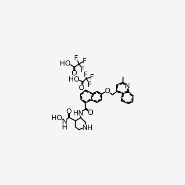 Cc1cc(COc2ccc3c(C(=O)NC4CNCCC4C(=O)NO)cccc3c2)c2ccccc2n1.O=C(O)C(F)(F)F.O=C(O)C(F)(F)F